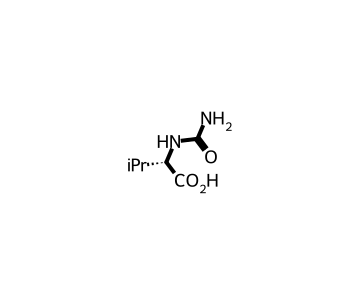 CC(C)[C@H](NC(N)=O)C(=O)O